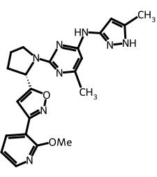 COc1ncccc1-c1cc([C@@H]2CCCN2c2nc(C)cc(Nc3cc(C)[nH]n3)n2)on1